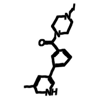 CC1=CC(c2cccc(C(=O)N3CCN(I)CC3)c2)=CNC1